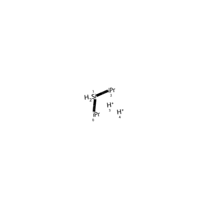 CC(C)[SiH2]C(C)C.[H+].[H+]